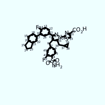 NS(=O)(=O)c1ccc(Cc2c(-c3ccc(F)c(-c4ccc5c(c4)CCC5)c3)nn(-c3nc(C(=O)O)cs3)c2CC2CC2)cc1F